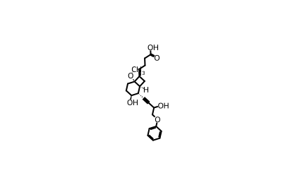 CO[C@@]12CC[C@H](O)[C@@H](C#CC(O)COc3ccccc3)[C@@H]1CC2=CCCC(=O)O